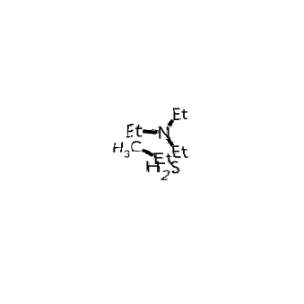 CCC.CCN(CC)CC.S